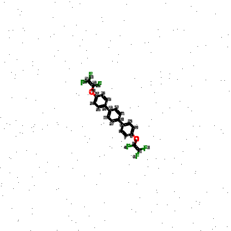 FC(F)=C(F)Oc1ccc(-c2ccc(-c3ccc(OC(F)=C(F)F)cc3)cc2)cc1